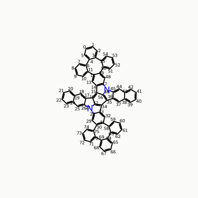 c1ccc2c(c1)-c1ccccc1-c1cc3c4c5c6cc7ccccc7cc6n6c7cc8c(cc7c(c7c9cc%10ccccc%10cc9n(c3cc1-c1ccccc1-2)c47)c56)-c1ccccc1-c1ccccc1-c1ccccc1-8